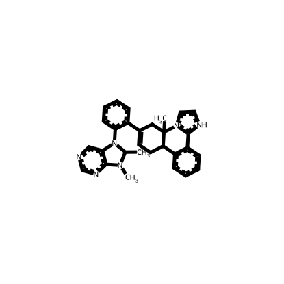 CC1N(C)c2ncncc2N1c1ccccc1C1=CCC2c3ccccc3-c3[nH]cc[n+]3C2(C)C1